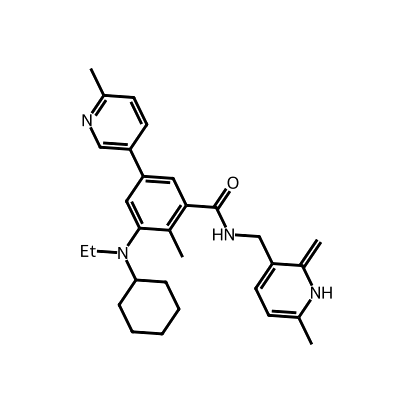 C=C1NC(C)=CC=C1CNC(=O)c1cc(-c2ccc(C)nc2)cc(N(CC)C2CCCCC2)c1C